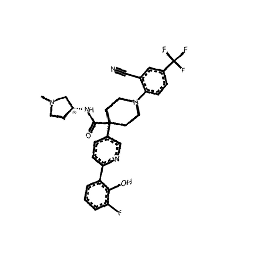 CN1CC[C@@H](NC(=O)C2(c3ccc(-c4cccc(F)c4O)nc3)CCN(c3ccc(C(F)(F)F)cc3C#N)CC2)C1